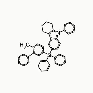 Cc1ccc([Si](C2=CCCC=C2)(c2ccccc2)c2ccc3c(c2)c2c(n3-c3ccccc3)CCCC2)cc1-c1ccccc1